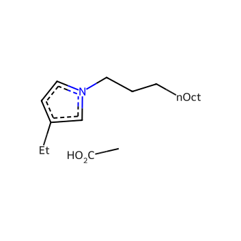 CC(=O)O.CCCCCCCCCCCn1ccc(CC)c1